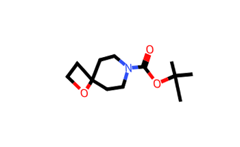 CC(C)(C)OC(=O)N1CCC2(CCO2)CC1